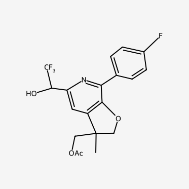 CC(=O)OCC1(C)COc2c1cc(C(O)C(F)(F)F)nc2-c1ccc(F)cc1